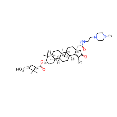 CCN1CCN(CCNC(=O)C[C@@]23CC[C@]4(C)[C@H](CC[C@@H]5[C@@]6(C)CC[C@H](OC(=O)[C@H]7C[C@@H](C(=O)O)C7(C)C)C(C)(C)[C@@H]6CC[C@]54C)C2=C(C(C)C)C(=O)C3)CC1